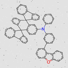 c1ccc(N(c2cccc(-c3cccc4oc5ccccc5c34)c2)c2ccc3c(c2)C2(c4ccccc4-c4ccccc42)c2ccccc2C32c3ccccc3-c3ccccc32)cc1